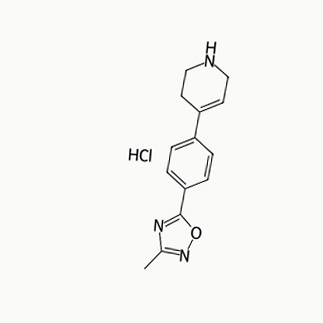 Cc1noc(-c2ccc(C3=CCNCC3)cc2)n1.Cl